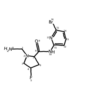 NCN1CC(F)CC1C(=O)Nc1cccc(Br)n1